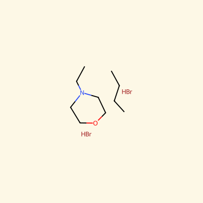 Br.Br.CCCC.CCN1CCOCC1